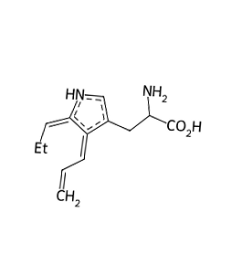 C=C/C=c1/c(CC(N)C(=O)O)c[nH]/c1=C/CC